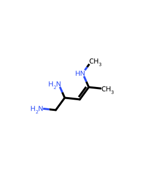 CN/C(C)=C\C(N)CN